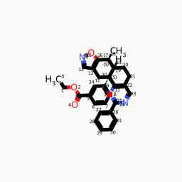 CCOC(=O)c1cccc([C@]23Cc4cnoc4[C@@H](C)[C@@H]2CCc2cnc(-c4ccccc4)nc23)c1